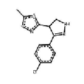 Cc1nnc(C2CNN=C2c2ccc(Cl)cc2)s1